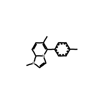 CC1=C(c2ccc(C)cc2)N2C=CN(C)C2C=C1